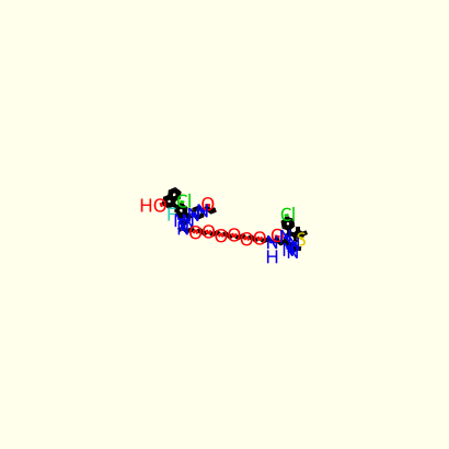 C=CC(=O)N1CCN(c2nc(N(C)CCOCCOCCOCCOCCOCCOCCNC(=O)CC3N=C(c4ccc(Cl)cc4)c4c(sc(C)c4C)-n4c(C)nnc43)nc3c(F)c(-c4cc(O)cc5ccccc45)c(Cl)cc23)CC1